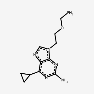 Nc1nc(C2CC2)c2ncn(CCOCP)c2n1